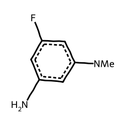 CNc1cc(N)cc(F)c1